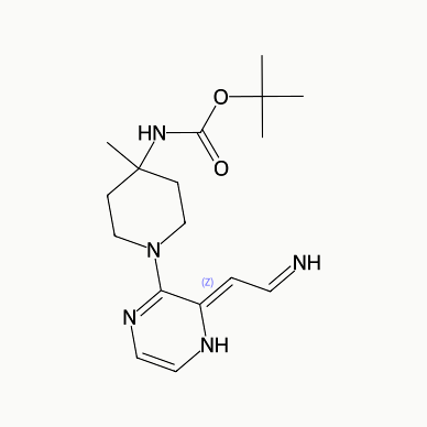 CC1(NC(=O)OC(C)(C)C)CCN(C2=NC=CN/C2=C\C=N)CC1